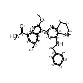 COc1nc2c(C(N)=O)cc(F)cc2n1-c1nc2c(c(NCc3ccccc3)n1)NCCC2